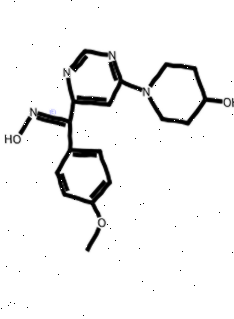 COc1ccc(/C(=N\O)c2cc(N3CCC(O)CC3)ncn2)cc1